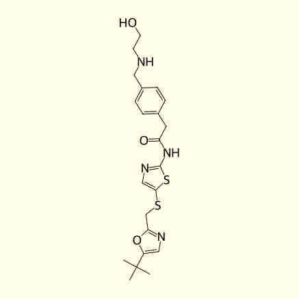 CC(C)(C)c1cnc(CSc2cnc(NC(=O)Cc3ccc(CNCCO)cc3)s2)o1